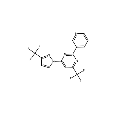 FC(F)(F)c1cc(-n2ccc(C(F)(F)F)n2)nc(-c2cccnc2)n1